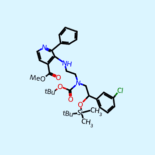 COC(=O)c1ccnc(-c2ccccc2)c1NCCN(CC(O[Si](C)(C)C(C)(C)C)c1cccc(Cl)c1)C(=O)OC(C)(C)C